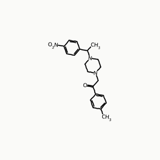 Cc1ccc(C(=O)CN2CCN(C(C)c3ccc([N+](=O)[O-])cc3)CC2)cc1